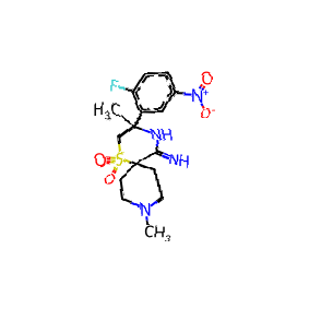 CN1CCC2(CC1)C(=N)NC(C)(c1cc([N+](=O)[O-])ccc1F)CS2(=O)=O